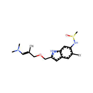 CCc1cc2cc(COC/C(C#N)=C/N(C)C)[nH]c2cc1N[S+](C)[O-]